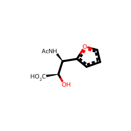 CC(=O)N[C@@H](c1ccco1)[C@@H](O)C(=O)O